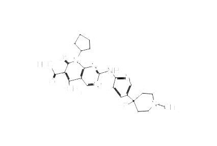 CC(=O)c1c(C)c2cnc(Nc3ccc(C4(F)CCN(C)CC4)cn3)nc2n(C2CCCC2)c1=O